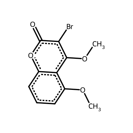 COc1cccc2oc(=O)c(Br)c(OC)c12